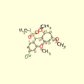 CCS(=O)(=O)C(c1ccc(Cl)cc1)c1c(OC)cc(OC)cc1OC